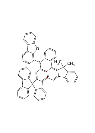 CC1(C)c2ccccc2-c2cccc(-c3ccccc3N(c3ccc4c(c3)C3(c5ccccc5-c5ccccc53)c3ccccc3-4)c3cccc4c3oc3ccccc34)c21